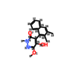 COc1nn(C)c(=O)c(-c2c(C)c(C)cc3ccccc23)c1O